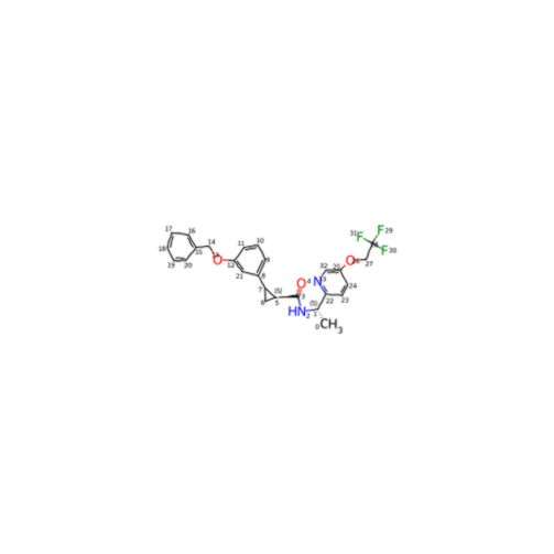 C[C@H](NC(=O)[C@H]1CC1c1cccc(OCc2ccccc2)c1)c1ccc(OCC(F)(F)F)cn1